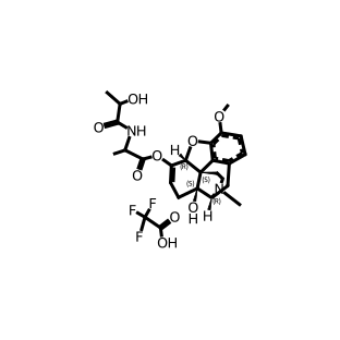 COc1ccc2c3c1O[C@H]1C(OC(=O)C(C)NC(=O)C(C)O)=CC[C@@]4(O)[C@@H](C2)N(C)CC[C@]314.O=C(O)C(F)(F)F